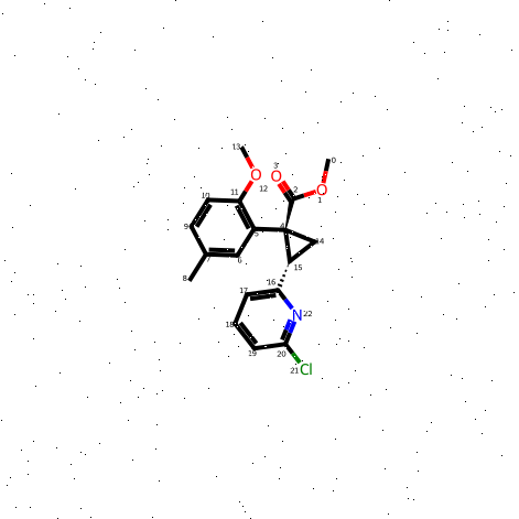 COC(=O)[C@@]1(c2cc(C)ccc2OC)C[C@@H]1c1cccc(Cl)n1